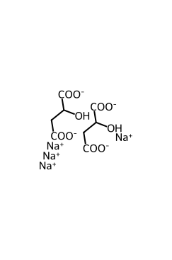 O=C([O-])CC(O)C(=O)[O-].O=C([O-])CC(O)C(=O)[O-].[Na+].[Na+].[Na+].[Na+]